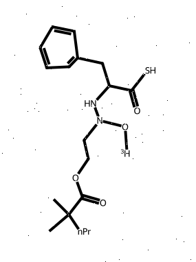 [3H]ON(CCOC(=O)C(C)(C)CCC)NC(Cc1ccccc1)C(=O)S